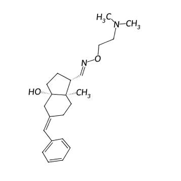 CN(C)CCO/N=C/[C@H]1CC[C@]2(O)C/C(=C/c3ccccc3)CC[C@]12C